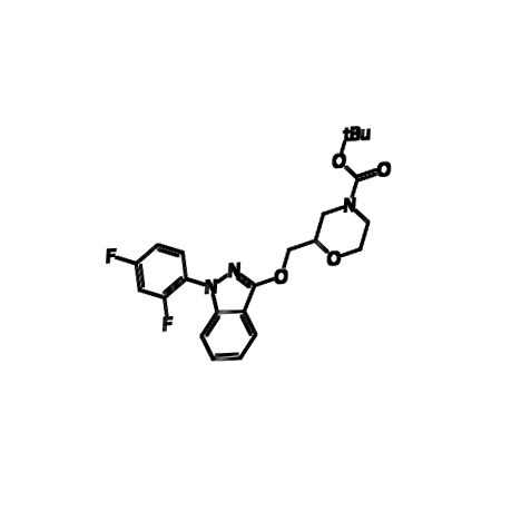 CC(C)(C)OC(=O)N1CCOC(COc2nn(-c3ccc(F)cc3F)c3ccccc23)C1